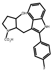 O=C(O)N1CCC(O)C1Cc1c(-c2ccc(F)cc2)[nH]c2ccccc12